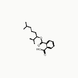 CC(C)CCCC(OC(=O)c1ccccc1C(=O)O)C(C)C